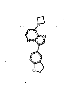 [c]1nc2c(N3CCC3)ccnn2c1-c1ccc2c(c1)CCO2